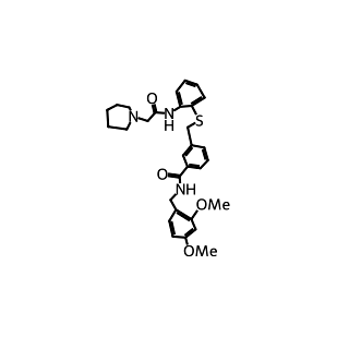 COc1ccc(CNC(=O)c2cccc(CSc3ccccc3NC(=O)CN3CCCCC3)c2)c(OC)c1